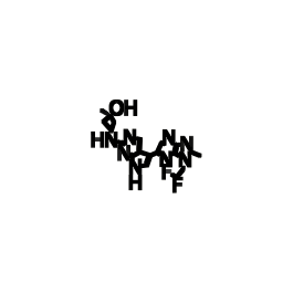 Cc1nc2ncc(-c3c[nH]c4nc(N[C@H]5C[C@@](C)(O)C5)ncc34)nc2n1CC(F)F